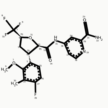 COc1c([C@@H]2C[C@@H](C(F)(F)F)O[C@H]2C(=O)Nc2ccnc(C(N)=O)c2)ccc(F)c1C